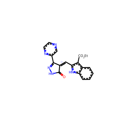 CCOC(=O)c1c(/C=C2\C(=O)NN=C2c2cnccn2)[nH]c2ccccc12